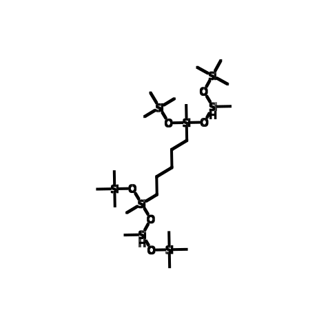 C[SiH](O[Si](C)(C)C)O[Si](C)(CCCCC[Si](C)(O[SiH](C)O[Si](C)(C)C)O[Si](C)(C)C)O[Si](C)(C)C